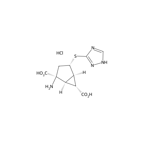 Cl.N[C@@]1(C(=O)O)C[C@H](Sc2nc[nH]n2)[C@H]2[C@H](C(=O)O)[C@H]21